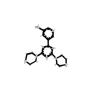 Oc1cncc(-c2nc(N3CCOCC3)nc(N3CCOCC3)n2)c1